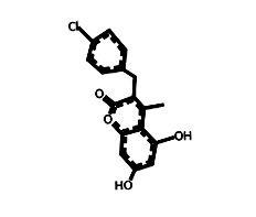 Cc1c(Cc2ccc(Cl)cc2)c(=O)oc2cc(O)cc(O)c12